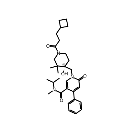 CC(C)N(C)C(=O)c1cn(C[C@]2(O)CCN(C(=O)CCC3CCC3)CC2(C)C)c(=O)cc1-c1ccccc1